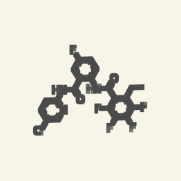 CCc1c(F)c(F)c(F)c(F)c1C(=O)Nc1ccc(F)cc1C(=O)Nc1ccc(Cl)cn1